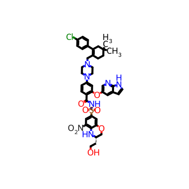 CC1(C)CCC(CN2CCN(c3ccc(C(=O)NS(=O)(=O)c4cc5c(c([N+](=O)[O-])c4)N[C@@H](CCO)CO5)c(Oc4cnc5[nH]ccc5c4)c3)CC2)=C(c2ccc(Cl)cc2)C1